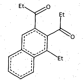 [CH2]Cc1c(C(=O)CC)c(C(=O)CC)cc2ccccc12